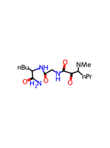 CCCCC(NC(=O)CNC(=O)C(=O)C(CCC)NC)C(N)=O